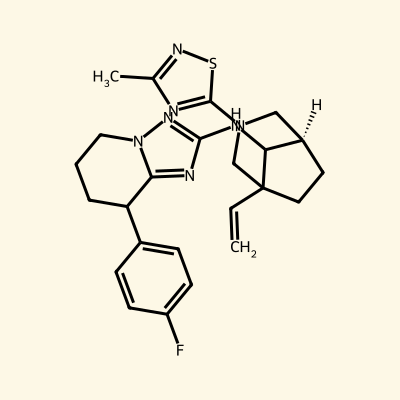 C=CC12CC[C@H](CN(c3nc(C)ns3)C1)C2Nc1nc2n(n1)CCCC2c1ccc(F)cc1